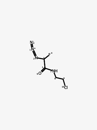 [N-]=[N+]=NC(F)C(=O)NCCCl